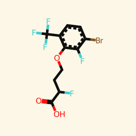 O=C(O)C(F)CCOc1c(C(F)(F)F)ccc(Br)c1F